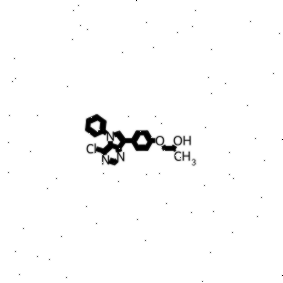 C[C@H](O)COc1ccc(-c2cn(-c3ccccc3)c3c(Cl)ncnc23)cc1